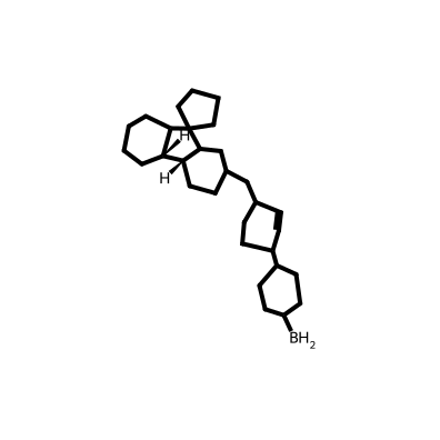 BC1CCC(C2C=CC(CC3CC[C@H]4C(C3)C3(CCCC3)C3CCCC[C@H]34)CC2)CC1